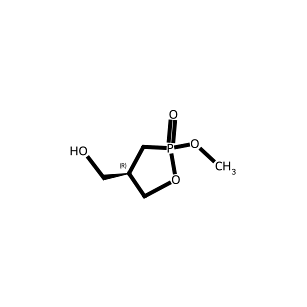 COP1(=O)C[C@H](CO)CO1